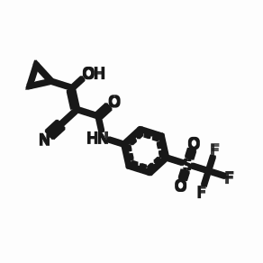 N#C/C(C(=O)Nc1ccc(S(=O)(=O)C(F)(F)F)cc1)=C(/O)C1CC1